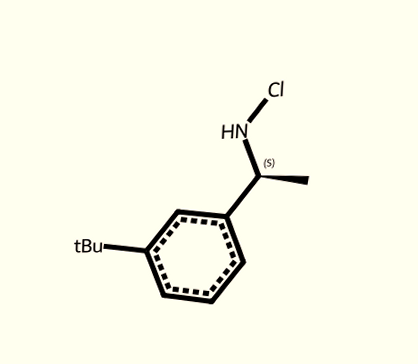 C[C@H](NCl)c1cccc(C(C)(C)C)c1